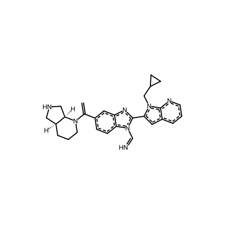 C=C(c1ccc2c(c1)nc(-c1cc3cccnc3n1CC1CC1)n2C=N)N1CCC[C@H]2CNC[C@H]21